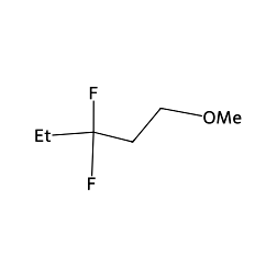 [CH2]CC(F)(F)CCOC